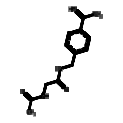 CC(=O)NCC(=O)NCc1ccc(C(=N)N)cc1